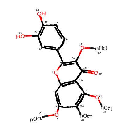 CCCCCCCCOc1cc2oc(-c3ccc(O)c(O)c3)c(OCCCCCCCC)c(=O)c2c(OCCCCCCCC)c1CCCCCCCC